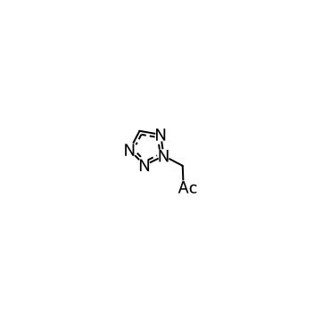 CC(=O)Cn1ncnn1